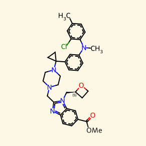 COC(=O)c1ccc2nc(CN3CCN(C4(c5cccc(N(C)c6ccc(C)cc6Cl)c5)CC4)CC3)n(C[C@@H]3CCO3)c2c1